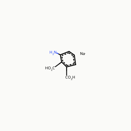 Nc1cccc(C(=O)O)c1C(=O)O.[Na]